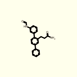 NC(=O)CCc1cc(-c2ccccc2)ccc1-c1cccc(NC=O)c1